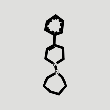 C1=C(c2ccccc2)CCN(N2CCCCCC2)C1